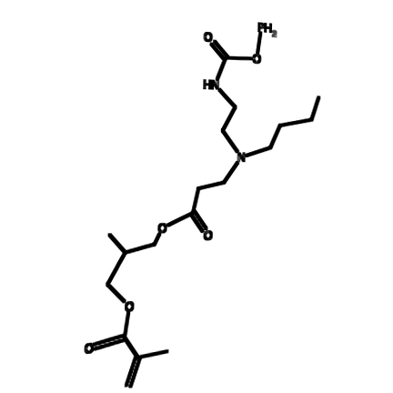 C=C(C)C(=O)OCC(C)COC(=O)CCN(CCCC)CCNC(=O)OP